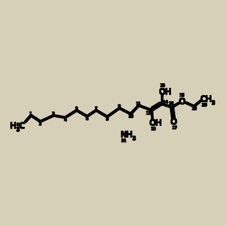 CCCCCCCCCCCCC(O)=C(O)C(=O)OCC.N